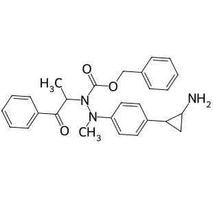 CC(C(=O)c1ccccc1)N(C(=O)OCc1ccccc1)N(C)c1ccc(C2CC2N)cc1